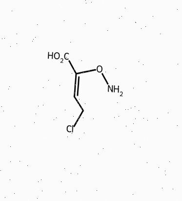 NOC(=CCCl)C(=O)O